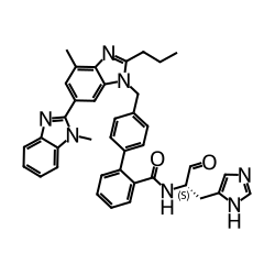 CCCc1nc2c(C)cc(-c3nc4ccccc4n3C)cc2n1Cc1ccc(-c2ccccc2C(=O)N[C@H](C=O)Cc2cnc[nH]2)cc1